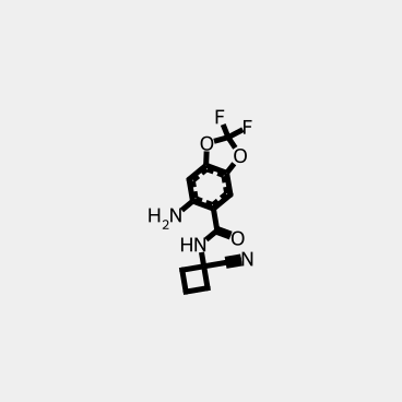 N#CC1(NC(=O)c2cc3c(cc2N)OC(F)(F)O3)CCC1